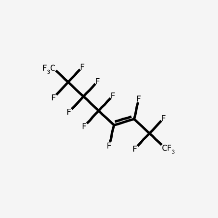 FC(=C(F)C(F)(F)C(F)(F)C(F)(F)C(F)(F)F)C(F)(F)C(F)(F)F